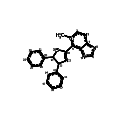 Cn1cnc2ncnc-2c1C1=NC(c2ccccc2)C(c2ccccc2)S1